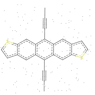 CC#Cc1c2cc3ccsc3cc2c(C#CC)c2cc3ccsc3cc12